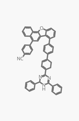 N#Cc1ccc(-c2cc3c(oc4cccc(-c5ccc(C6=CC=C(C7=NC(c8ccccc8)NC(c8ccccc8)=N7)CC6)cc5)c43)c3ccccc23)cc1